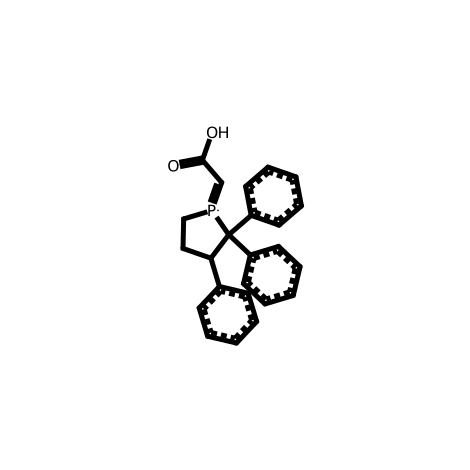 O=C(O)C=[P]1CCC(c2ccccc2)C1(c1ccccc1)c1ccccc1